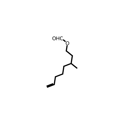 C=CCCCC(C)CCOC=O